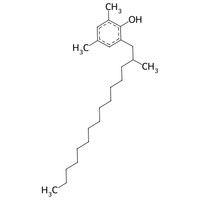 CCCCCCCCCCCCCC(C)Cc1cc(C)cc(C)c1O